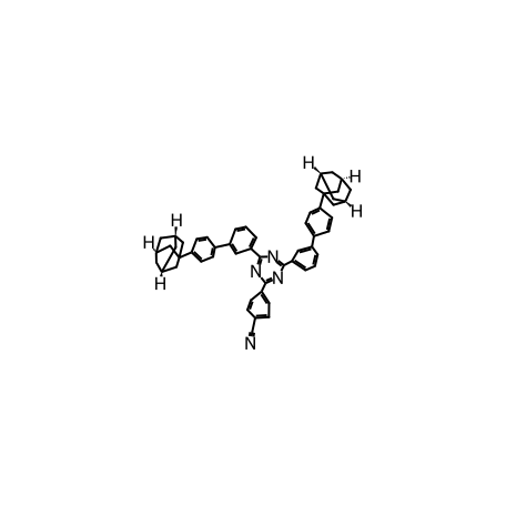 N#Cc1ccc(-c2nc(-c3cccc(-c4ccc(C56C[C@H]7C[C@@H](C5)C[C@@H](C6)C7)cc4)c3)nc(-c3cccc(-c4ccc(C56C[C@H]7C[C@@H](C5)C[C@@H](C6)C7)cc4)c3)n2)cc1